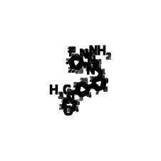 CC(c1ccc(-c2cccc(Cc3cn4c(N)nc5c(F)cccc5c4n3)c2)cc1)N1CCOCC1